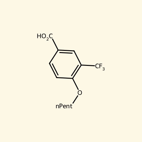 CCCCCOc1ccc(C(=O)O)cc1C(F)(F)F